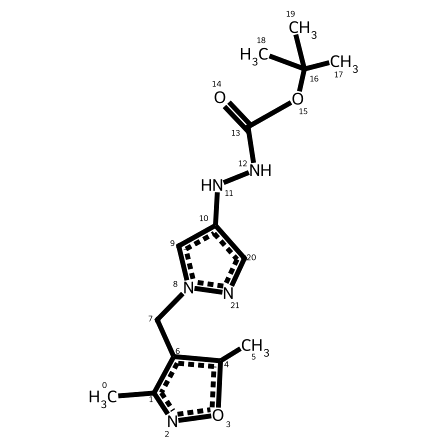 Cc1noc(C)c1Cn1cc(NNC(=O)OC(C)(C)C)cn1